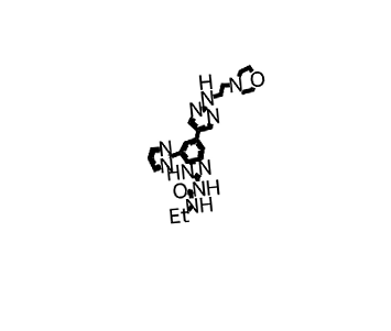 CCNC(=O)Nc1nc2cc(-c3cnc(NCCN4CCOCC4)nc3)cc(-c3ncccn3)c2[nH]1